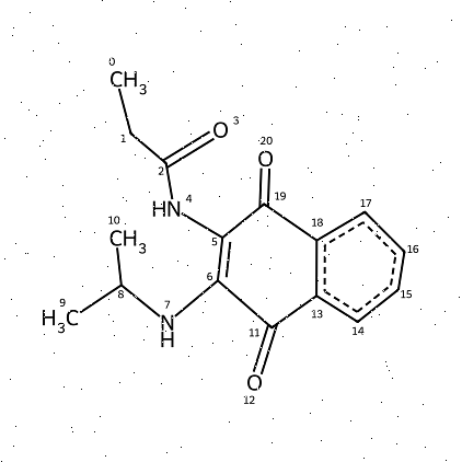 CCC(=O)NC1=C(NC(C)C)C(=O)c2ccccc2C1=O